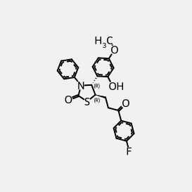 COc1ccc([C@@H]2[C@@H](CCC(=O)c3ccc(F)cc3)SC(=O)N2c2ccccc2)c(O)c1